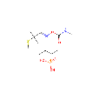 CCCC.CNC(=O)O/N=C/C(C)(C)SC.O=[PH](O)O